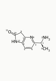 C[C@H](N)c1ccc2c(n1)CC(=O)N2